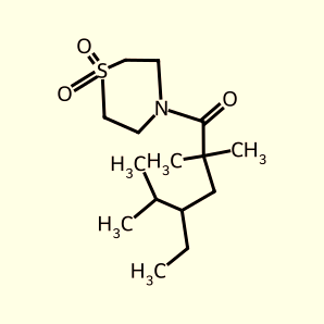 CCC(CC(C)(C)C(=O)N1CCS(=O)(=O)CC1)C(C)C